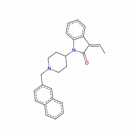 C/C=C1\C(=O)N(C2CCN(Cc3ccc4ccccc4c3)CC2)c2ccccc21